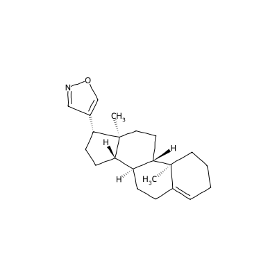 C[C@]12CC[C@H]3[C@@H](CCC4=CCCC[C@@]43C)[C@@H]1CC[C@@H]2c1cnoc1